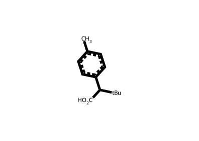 Cc1ccc(C(C(=O)O)C(C)(C)C)cc1